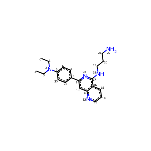 CCN(CC)c1ccc(-c2cc3ncccc3c(NCCCN)n2)cc1